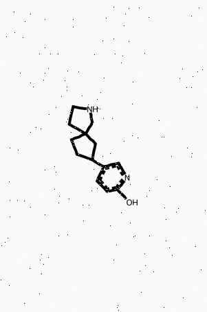 Oc1ccc(C2CCC3(CCNC3)C2)cn1